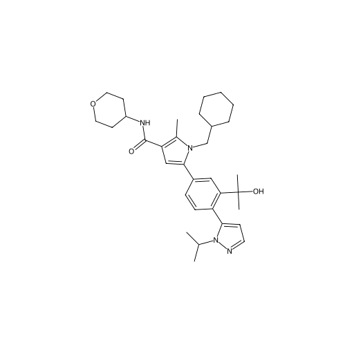 Cc1c(C(=O)NC2CCOCC2)cc(-c2ccc(-c3ccnn3C(C)C)c(C(C)(C)O)c2)n1CC1CCCCC1